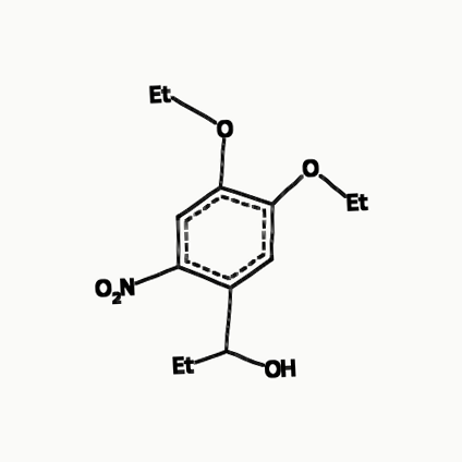 CCOc1cc(C(O)CC)c([N+](=O)[O-])cc1OCC